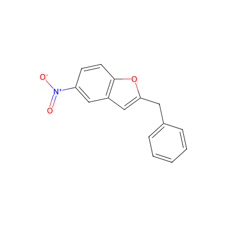 O=[N+]([O-])c1ccc2oc(Cc3ccccc3)cc2c1